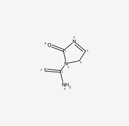 NC(=S)N1CC=NC1=O